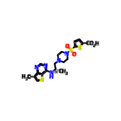 Cc1csc2c(N[C@@H](C)CN3CCN(S(=O)(=O)c4ccc(C(=O)O)s4)CC3)ncnc12